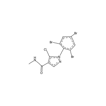 CNC(=O)c1cnn(-c2c(Br)cc(Br)cc2Br)c1Cl